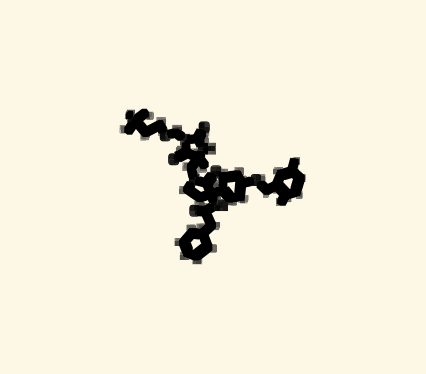 Cc1ccc(C)c(COc2ccc(C3(NC(=O)Cc4ccccc4)CCN(CC4(C)NC(=O)N(COCC[Si](C)(C)C)C4=O)C3=O)cc2)c1